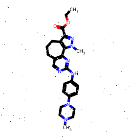 CCOC(=O)c1nn(C)c2c1CCCc1cnc(Nc3ccc(N4CCN(C)CC4)cc3)nc1-2